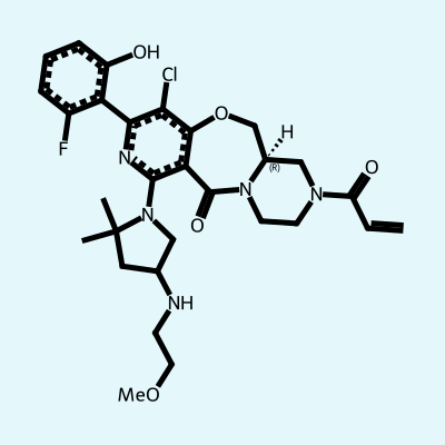 C=CC(=O)N1CCN2C(=O)c3c(N4CC(NCCOC)CC4(C)C)nc(-c4c(O)cccc4F)c(Cl)c3OC[C@H]2C1